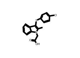 Cc1c(Sc2ccc(Cl)cc2)c2ccccc2n1CC(=O)O